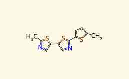 Cc1ccc(-c2ncc(-c3cnc(C)s3)s2)s1